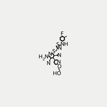 Cc1cc(Nc2nc(CSc3nc(N)c(C#N)c(-c4ccc(OCCO)nc4)c3C#N)cs2)ccc1F